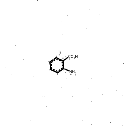 Nc1ccccc1C(=O)O.[Ti]